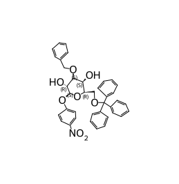 O=[N+]([O-])c1ccc(O[C@@H]2O[C@H](COC(c3ccccc3)(c3ccccc3)c3ccccc3)[C@H](O)[C@H](OCc3ccccc3)[C@H]2O)cc1